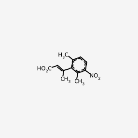 C/C(=C\C(=O)O)c1c(C)ccc([N+](=O)[O-])c1C